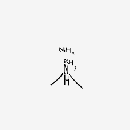 CNC.N.N